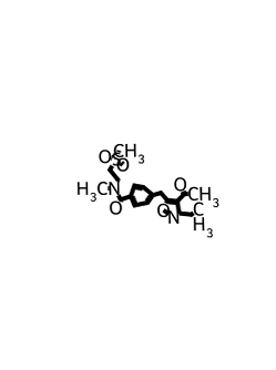 CCc1noc(Cc2ccc(C(=O)N(C)CCS(C)(=O)=O)cc2)c1C(C)=O